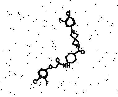 O=C(COc1ccc(Cl)c(F)c1)NC1CCC(C(=O)N2CC3(C2)CN(c2ccc(Cl)c(F)c2)C3)CC1